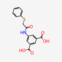 O=C(CSc1ccccc1)Nc1cc(C(=O)O)cc(C(=O)O)c1